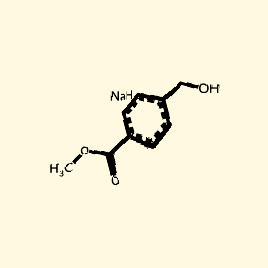 COC(=O)c1ccc(CO)cc1.[NaH]